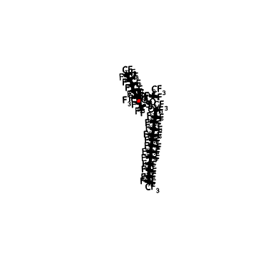 FC(F)(F)C(F)(F)O[Si](OC(F)(F)C(F)(F)F)(OC(F)(C(F)(F)F)C(F)(F)C(F)(F)C(F)(F)C(F)(F)C(F)(F)C(F)(F)C(F)(F)C(F)(F)C(F)(F)C(F)(F)C(F)(F)C(F)(F)C(F)(F)F)C(F)(F)C(F)(F)C(F)(F)C(F)(F)C(F)(F)C(F)(F)C(F)(F)C(F)(F)F